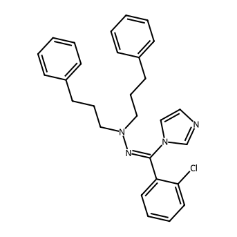 Clc1ccccc1C(=NN(CCCc1ccccc1)CCCc1ccccc1)n1ccnc1